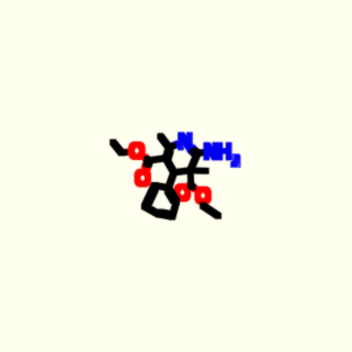 CCOC(=O)C1=C(C)N=C(N)C(C)(C(=O)OCC)C1c1ccccc1